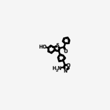 Nc1ncoc1-c1ccc(-c2c(C(=O)c3ccccc3)sc3cc(O)ccc23)cc1